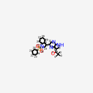 CC(C)(C)C(=O)c1c[nH]c2ncc(-c3cn(S(=O)(=O)c4ccccc4)c4ccccc34)nc12